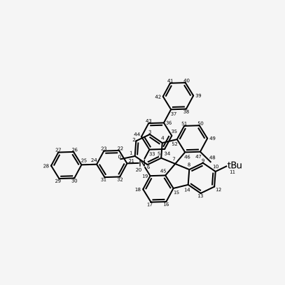 Cc1ccc2c(c1)C1(c3cc(C(C)(C)C)ccc3-c3cccc(N(c4ccc(-c5ccccc5)cc4)c4ccc(-c5ccccc5)cc4)c31)c1c(C)cccc1-2